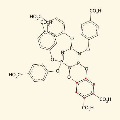 O=C(O)c1ccc(ON2P(Oc3ccc(C(=O)O)cc3)N=P(Oc3ccc(C(=O)O)cc3)(Oc3ccc(C(=O)O)cc3)N(Oc3ccc(C(=O)O)cc3)P2Oc2ccc(C(=O)O)cc2)cc1